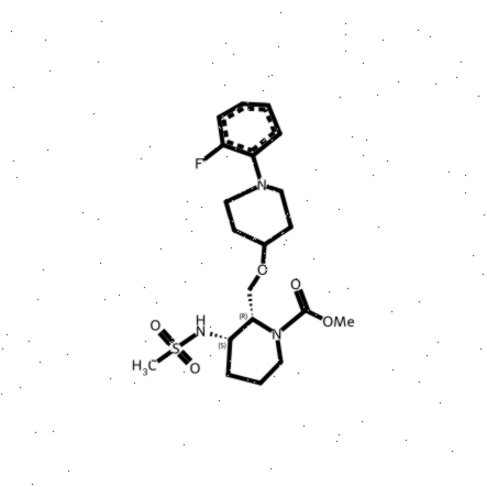 COC(=O)N1CCC[C@H](NS(C)(=O)=O)[C@@H]1COC1CCN(c2ccccc2F)CC1